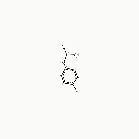 OP(O)Oc1ccc(Cl)cc1